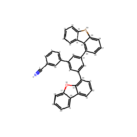 N#Cc1cccc(-c2cc(-c3cccc4c3oc3ccccc34)cc(-c3cccc4sc5ccccc5c34)c2)c1